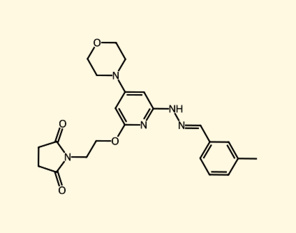 Cc1cccc(/C=N/Nc2cc(N3CCOCC3)cc(OCCN3C(=O)CCC3=O)n2)c1